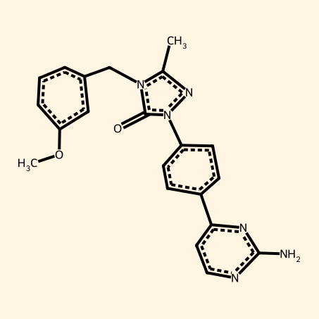 COc1cccc(Cn2c(C)nn(-c3ccc(-c4ccnc(N)n4)cc3)c2=O)c1